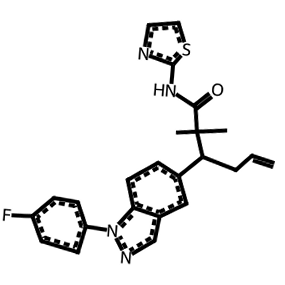 C=CCC(c1ccc2c(cnn2-c2ccc(F)cc2)c1)C(C)(C)C(=O)Nc1nccs1